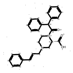 O=C(O)[C@@H]1CN(CC=Cc2ccccc2)CCN1C(=O)C(c1ccccc1)c1ccccc1